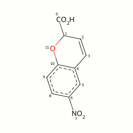 O=C(O)C1C=Cc2cc([N+](=O)[O-])ccc2O1